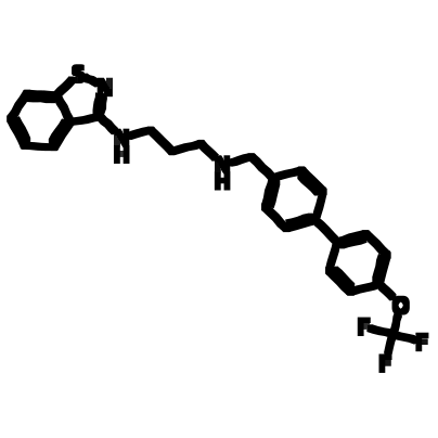 FC(F)(F)Oc1ccc(-c2ccc(CNCCCNc3nsc4ccccc34)cc2)cc1